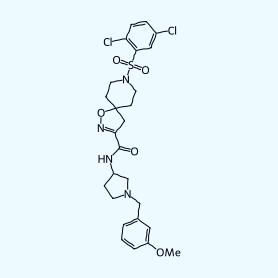 COc1cccc(CN2CCC(NC(=O)C3=NOC4(CCN(S(=O)(=O)c5cc(Cl)ccc5Cl)CC4)C3)C2)c1